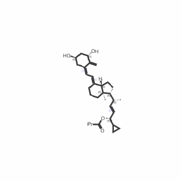 C=C1/C(=C\C=C2/CCC[C@]3(C)[C@@H]([C@H](C)/C=C/[C@@H](OC(=O)C(C)C)C4CC4)CC[C@@H]23)C[C@@H](O)C[C@@H]1O